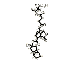 CCC1(OC(=O)C2C3CC4C(OC(=O)C42)C3OC(=O)CCC(=O)OC(C)C(F)(F)S(=O)(=O)O)CC2C3CCC(C3)C2C1